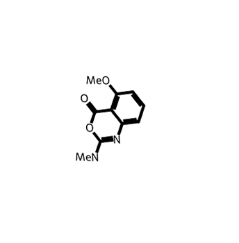 CNc1nc2cccc(OC)c2c(=O)o1